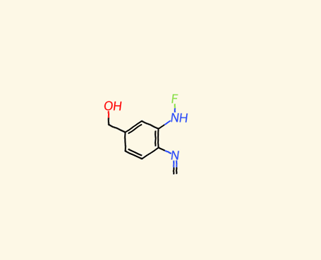 C=Nc1ccc(CO)cc1NF